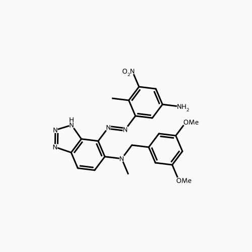 COc1cc(CN(C)c2ccc3nn[nH]c3c2/N=N/c2cc(N)cc([N+](=O)[O-])c2C)cc(OC)c1